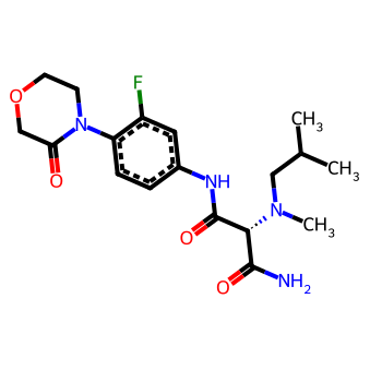 CC(C)CN(C)[C@H](C(N)=O)C(=O)Nc1ccc(N2CCOCC2=O)c(F)c1